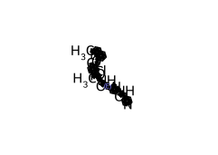 Cc1ccc2cccc(OCc3c(Cl)ccc(N(C)C(=O)CNC(=O)/C=C/c4ccc(NC(=O)Cc5ccncc5)nc4)c3Cl)c2n1